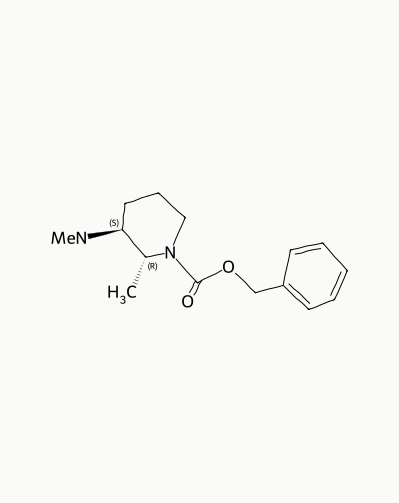 CN[C@H]1CCCN(C(=O)OCc2ccccc2)[C@@H]1C